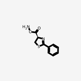 NOC(=O)[C@@H]1CSC(c2ccccc2)=N1